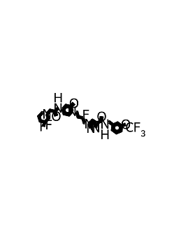 O=C(CN1CCCC(F)(F)C1)Nc1ccn(CCC(F)Cn2cc(C(=O)NCc3cccc(OC(F)(F)F)c3)nn2)c(=O)c1